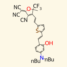 [C-]#[N+]C1=C(/C=C/c2ccc(/C=C/c3ccc(N(CCCC)CCCC)cc3O)s2)C(C)(C(F)(F)F)OC1=C(C#N)C#N